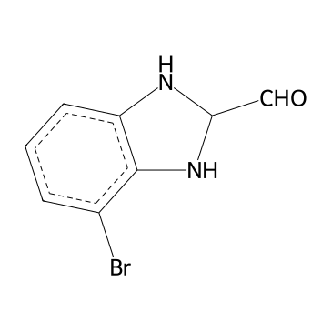 O=CC1Nc2cccc(Br)c2N1